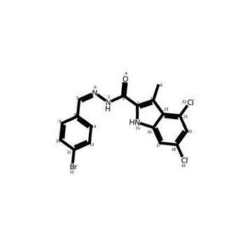 Cc1c(C(=O)N/N=C\c2ccc(Br)cc2)[nH]c2cc(Cl)cc(Cl)c12